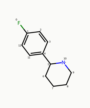 Fc1ccc(C2CCCC[N]2)cc1